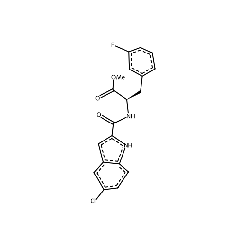 COC(=O)[C@@H](Cc1cccc(F)c1)NC(=O)c1cc2cc(Cl)ccc2[nH]1